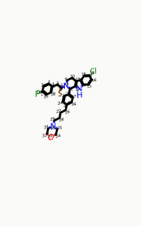 Fc1ccc(CC(=S)N2CCc3c([nH]c4ccc(Cl)cc34)C2c2ccc(CCCCN3CCOCC3)cc2)cc1